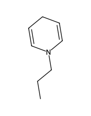 CCCN1C=CCC=C1